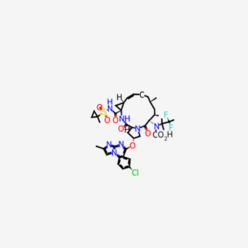 Cc1cn2c(n1)nc(O[C@@H]1C[C@H]3C(=O)N[C@]4(C(=O)NS(=O)(=O)C5(C)CC5)C[C@H]4/C=C\CC[C@@H](C)C[C@@H](C)[C@H](N(C(=O)O)C(C)(C)C(C)(F)F)C(=O)N3C1)c1cc(Cl)ccc12